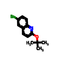 CC(C)(C)Oc1ccc2cc(Br)ccc2n1